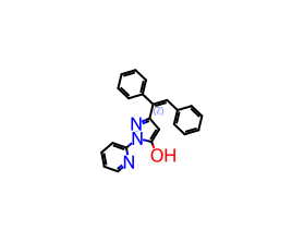 Oc1cc(/C(=C\c2ccccc2)c2ccccc2)nn1-c1ccccn1